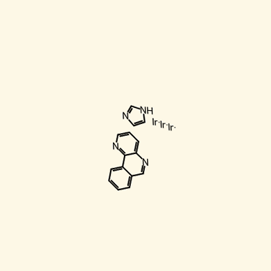 [Ir].[Ir].[Ir].c1c[nH]cn1.c1ccc2c(c1)cnc1cccnc12